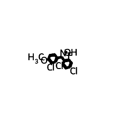 COc1ccc(C(=NO)c2ccc(Cl)cc2F)c(Cl)c1Cl